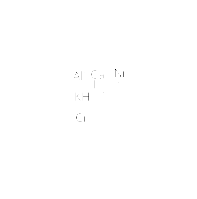 [Al].[CaH2].[Cr].[KH].[Ni]